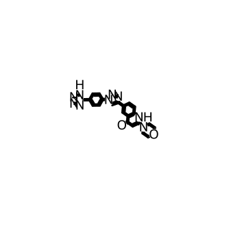 O=c1cc(N2CCOCC2)[nH]c2ccc(-c3cn(-c4ccc(-c5nnn[nH]5)cc4)nn3)cc12